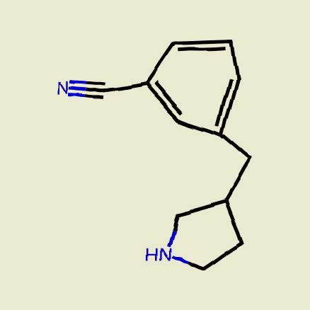 N#Cc1cccc(CC2CCNC2)c1